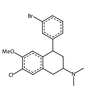 COc1cc2c(cc1Cl)CC(N(C)C)CC2c1cccc(Br)c1